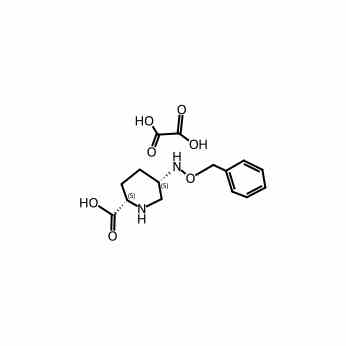 O=C(O)C(=O)O.O=C(O)[C@@H]1CC[C@H](NOCc2ccccc2)CN1